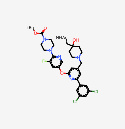 CC(=O)NCC1(O)CCN(Cc2cc(Oc3cnc(N4CCN(C(=O)OC(C)(C)C)CC4)c(F)c3)nc(-c3cc(Cl)cc(Cl)c3)c2)CC1